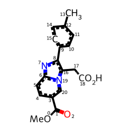 COC(=O)c1ccc2nc(-c3ccc(C)cc3)c(CC(=O)O)n2c1